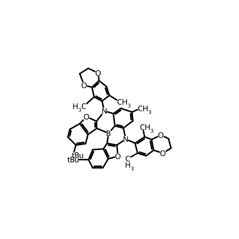 Cc1cc2c3c(c1)N(c1c(C)cc4c(c1C)OCCO4)c1oc4ccc(C(C)(C)C)cc4c1B3c1c(oc3ccc(C(C)(C)C)cc13)N2c1c(C)cc2c(c1C)OCCO2